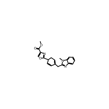 COC(=O)c1coc(C2C=CC(Cc3nc4ccccc4n3C)=CC2)n1